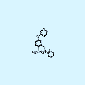 O=S(O)c1ccc(Oc2cccnc2)cc1CNc1ccccn1